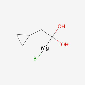 O[C](O)(CC1CC1)[Mg][Br]